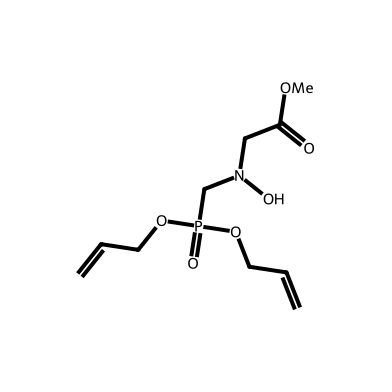 C=CCOP(=O)(CN(O)CC(=O)OC)OCC=C